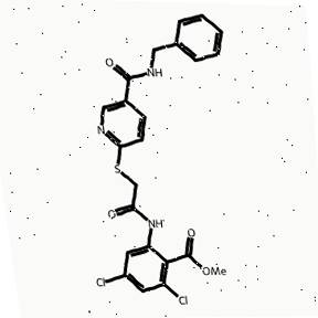 COC(=O)c1c(Cl)cc(Cl)cc1NC(=O)CSc1ccc(C(=O)NCc2ccccc2)cn1